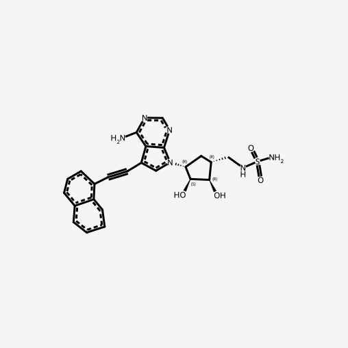 Nc1ncnc2c1c(C#Cc1cccc3ccccc13)cn2[C@@H]1C[C@H](CNS(N)(=O)=O)[C@@H](O)[C@H]1O